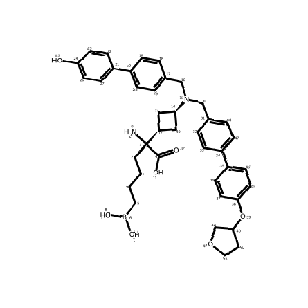 NC(CCCCB(O)O)(C(=O)O)[C@H]1C[C@@H](N(Cc2ccc(-c3ccc(O)cc3)cc2)Cc2ccc(-c3ccc(OC4CCOC4)cc3)cc2)C1